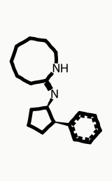 c1ccc([C@H]2CCC[C@H]2N=C2CCCCCCCN2)cc1